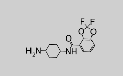 NC1CCC(NC(=O)c2cccc3c2OC(F)(F)O3)CC1